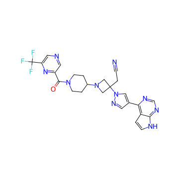 N#CCC1(n2cc(-c3ncnc4[nH]ccc34)cn2)CN(C2CCN(C(=O)c3cncc(C(F)(F)F)n3)CC2)C1